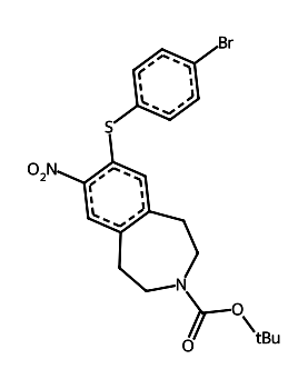 CC(C)(C)OC(=O)N1CCc2cc(Sc3ccc(Br)cc3)c([N+](=O)[O-])cc2CC1